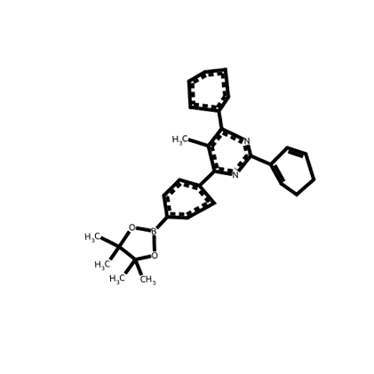 Cc1c(-c2ccccc2)nc(C2=CCCC=C2)nc1-c1ccc(B2OC(C)(C)C(C)(C)O2)cc1